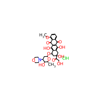 COc1cccc2c1C(=O)c1c(O)c3c(c(O)c1C2=O)C[C@@](O)(C(=O)CO)C[C@@H]3OC1CC(N2CCOCC2)C(O)C(C)O1.Cl